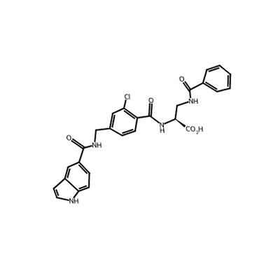 O=C(NCc1ccc(C(=O)N[C@@H](CNC(=O)c2ccccc2)C(=O)O)c(Cl)c1)c1ccc2[nH]ccc2c1